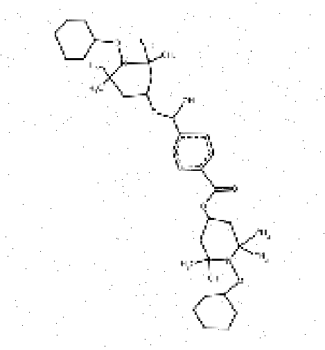 CC1(C)CC(OC(=O)c2ccc(C(O)OC3CC(C)(C)N(OC4CCCCC4)C(C)(C)C3)cc2)CC(C)(C)N1OC1CCCCC1